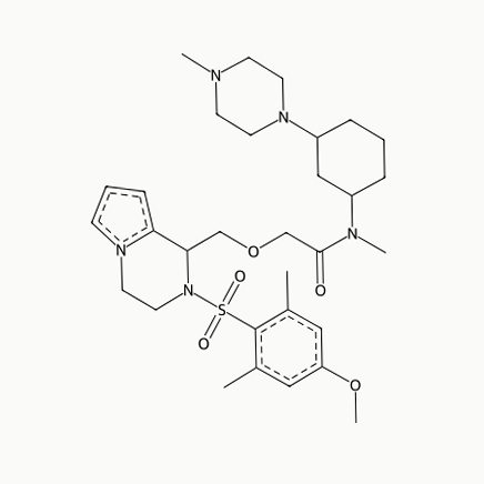 COc1cc(C)c(S(=O)(=O)N2CCn3cccc3C2COCC(=O)N(C)C2CCCC(N3CCN(C)CC3)C2)c(C)c1